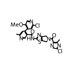 COc1cnc(Cl)cc1-c1cc(C)ncc1C(=O)Nc1nc2c(s1)CN(C(=O)c1ncc(Cl)nc1C)C2